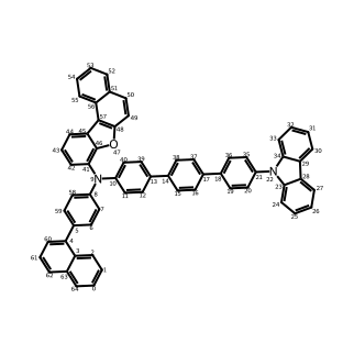 c1ccc2c(-c3ccc(N(c4ccc(-c5ccc(-c6ccc(-n7c8ccccc8c8ccccc87)cc6)cc5)cc4)c4cccc5c4oc4ccc6ccccc6c45)cc3)cccc2c1